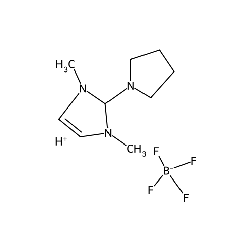 CN1C=CN(C)C1N1CCCC1.F[B-](F)(F)F.[H+]